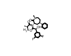 C[C@H](N)C(=O)N(C(=O)[C@@H](O)c1cc(F)cc(F)c1)[C@H]1C[C@H](c2ccccc2)CCN(C)C1=O